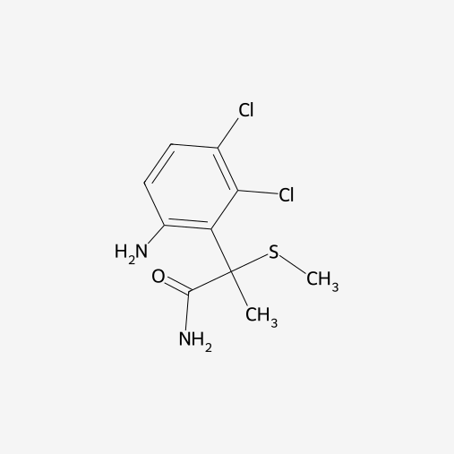 CSC(C)(C(N)=O)c1c(N)ccc(Cl)c1Cl